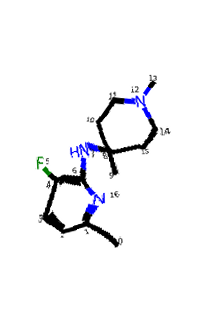 Cc1ccc(F)c(NC2(C)CCN(C)CC2)n1